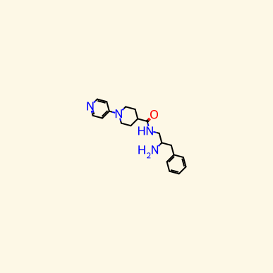 NC(CNC(=O)C1CCN(c2ccncc2)CC1)Cc1ccccc1